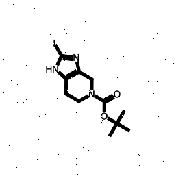 CC(C)(C)OC(=O)N1CCc2[nH]c(I)nc2C1